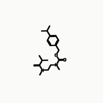 C=C(C(C)C)N(C)CCN(C)C(=O)OCc1ccc(C(C)C)cc1